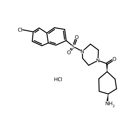 Cl.N[C@H]1CC[C@@H](C(=O)N2CCN(S(=O)(=O)c3ccc4cc(Cl)ccc4c3)CC2)CC1